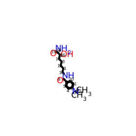 CN(C)c1ccc(C(=O)NCCCCCC(O)C(N)=O)cc1